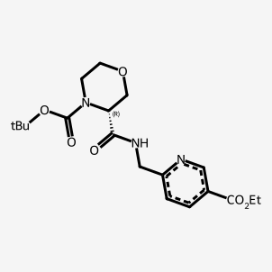 CCOC(=O)c1ccc(CNC(=O)[C@H]2COCCN2C(=O)OC(C)(C)C)nc1